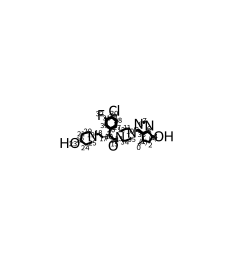 C[C@@H]1C[C@@H](O)c2ncnc(N3CCN(C(=O)[C@H](CCN4CCC(O)CC4)c4ccc(Cl)c(F)c4)CC3)c21